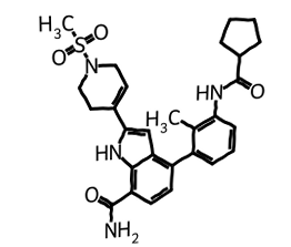 Cc1c(NC(=O)C2CCCC2)cccc1-c1ccc(C(N)=O)c2[nH]c(C3=CCN(S(C)(=O)=O)CC3)cc12